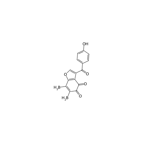 BC1=C(B)c2occ(C(=O)c3ccc(O)cc3)c2C(=O)C1=O